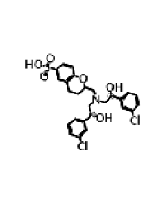 O=S(=O)(O)c1ccc2c(c1)CCC(CN(C[C@H](O)c1cccc(Cl)c1)C[C@H](O)c1cccc(Cl)c1)O2